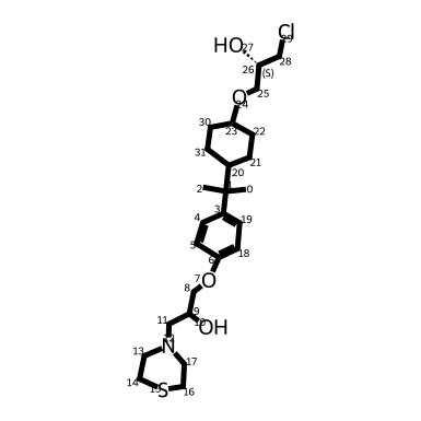 CC(C)(c1ccc(OCC(O)CN2CCSCC2)cc1)C1CCC(OC[C@H](O)CCl)CC1